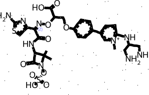 C[n+]1cc(-c2ccc(OCC(O/N=C(\C(=O)NC3C(=O)N(OS(=O)(=O)O)C3(C)C)c3csc(N)n3)C(=O)O)cc2)ccc1NC(CN)CN